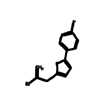 C=C(CC)Cc1ccc(-c2ccc(F)cc2)s1